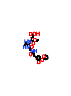 CCOC(=O)[C@@H](CCC(=O)O)NC[C@@H](NC(=O)CNC(=O)/C=C/c1ccc(OC2CCCCO2)c(OC)c1)C(C)C